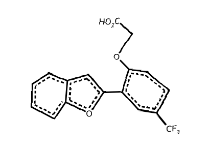 O=C(O)COc1ccc(C(F)(F)F)cc1-c1cc2ccccc2o1